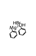 Br.Oc1ccccc1.[Mg+2][c]1ccccc1